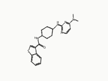 CN(C)c1ccnc(NC2CCC(NC(=O)c3csc4ccccc34)CC2)n1